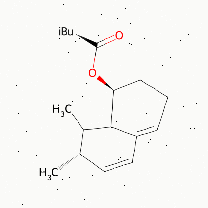 CC[C@H](C)C(=O)O[C@H]1CCC=C2C=C[C@H](C)C(C)C21